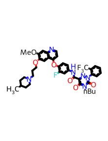 CCCCn1c(=O)c(C(=O)Nc2ccc(Oc3ccnc4cc(OC)c(OCCCN5CCC(C)CC5)cc34)c(F)c2)nn(-c2ccccc2C(F)(F)F)c1=O